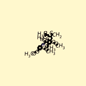 C=C(C)C(CC=C(C)C)Cc1c(OCOC)cc(OC)c(C(=O)/C=C/c2ccc(OCOC)cc2OCOC)c1C